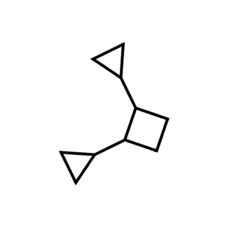 C1CC1C1CCC1C1CC1